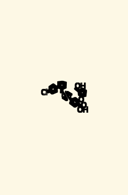 O=C(O)c1ccc(N2CCN(Cc3ccccc3-c3ccc(Cl)cc3)CC2)cc1Oc1cccc(CO)c1